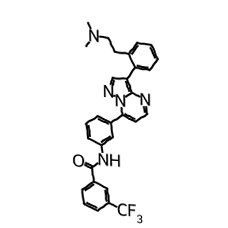 CN(C)CCc1ccccc1-c1cnn2c(-c3cccc(NC(=O)c4cccc(C(F)(F)F)c4)c3)ccnc12